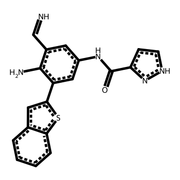 N=Cc1cc(NC(=O)c2cc[nH]n2)cc(-c2cc3ccccc3s2)c1N